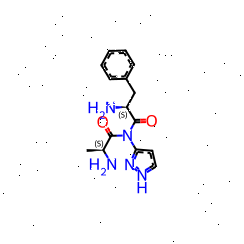 C[C@H](N)C(=O)N(C(=O)[C@@H](N)Cc1ccccc1)c1cc[nH]n1